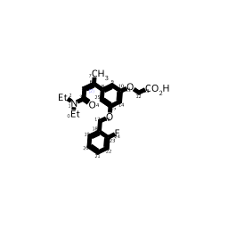 CCN(CC)C(=O)/C=C(/C)c1cc(OCC(=O)O)cc(OCc2ccccc2F)c1